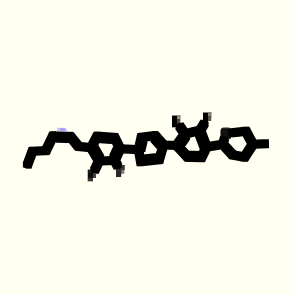 CCC/C=C\Cc1ccc(-c2ccc(-c3ccc(C4CCC(C)CO4)c(F)c3F)cc2)c(F)c1F